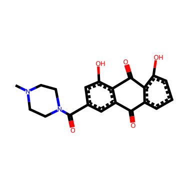 CN1CCN(C(=O)c2cc(O)c3c(c2)C(=O)c2cccc(O)c2C3=O)CC1